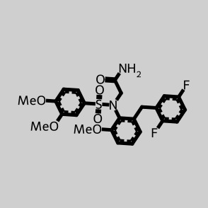 COc1ccc(S(=O)(=O)N(CC(N)=O)c2c(Cc3cc(F)ccc3F)cccc2OC)cc1OC